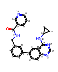 O=C(NCc1cccc(-c2ccc3ncnc(NC4CC4)c3c2)c1)c1cccnc1